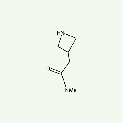 CNC(=O)CC1CNC1